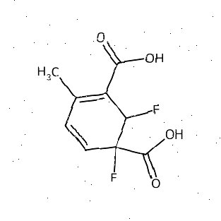 CC1=C(C(=O)O)C(F)C(F)(C(=O)O)C=C1